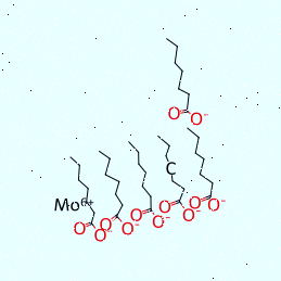 CCCCCCC(=O)[O-].CCCCCCC(=O)[O-].CCCCCCC(=O)[O-].CCCCCCC(=O)[O-].CCCCCCC(=O)[O-].CCCCCCC(=O)[O-].[Mo+6]